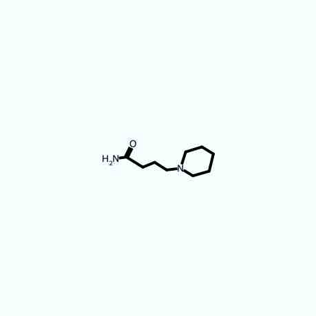 NC(=O)CCCN1CCCCC1